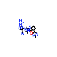 Cc1ncc(-c2cccc3nc([C@H](C)Nc4nc(N)ncc4C#N)n(C(C)C)c(=O)c23)cn1